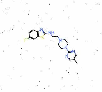 Cc1cnc(N2CCN(CCNc3nc4ccc(F)cc4s3)CC2)nc1